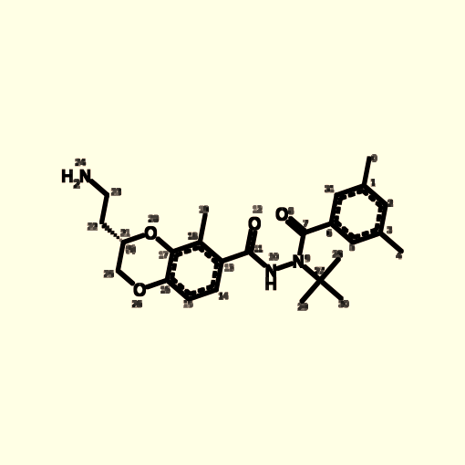 Cc1cc(C)cc(C(=O)N(NC(=O)c2ccc3c(c2C)O[C@@H](CCN)CO3)C(C)(C)C)c1